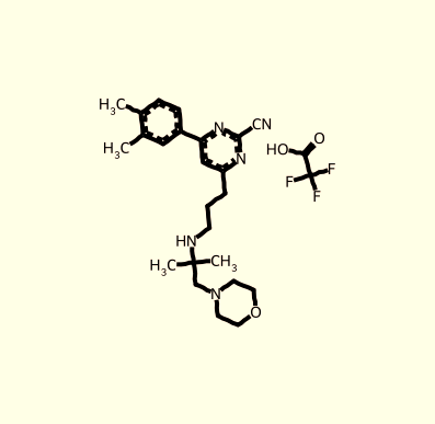 Cc1ccc(-c2cc(CCCNC(C)(C)CN3CCOCC3)nc(C#N)n2)cc1C.O=C(O)C(F)(F)F